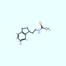 CC(=O)NCCC1CCc2ccc(I)cc21